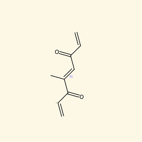 C=[C]C(=O)/C(C)=C/C(=O)C=C